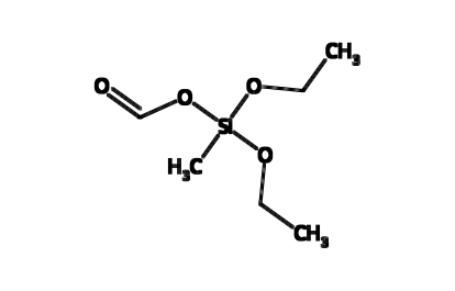 CCO[Si](C)(OC=O)OCC